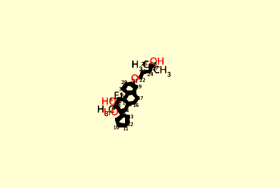 CCC12CC(C)(O)C(O)(c3ccccc3)CC1CCc1cc(OCCCC(C)(C)O)ccc12